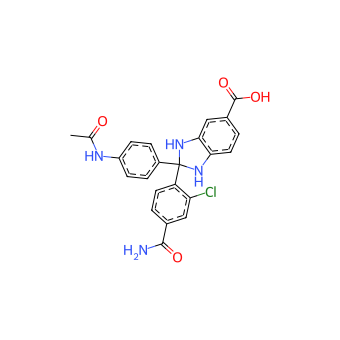 CC(=O)Nc1ccc(C2(c3ccc(C(N)=O)cc3Cl)Nc3ccc(C(=O)O)cc3N2)cc1